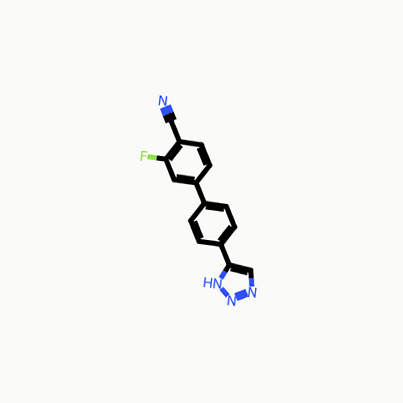 N#Cc1ccc(-c2ccc(-c3cnn[nH]3)cc2)cc1F